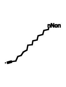 [C]#CCCCCCCCCCCCCCCCCCCCCCC